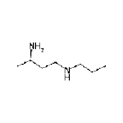 CCCNCCC(C)N